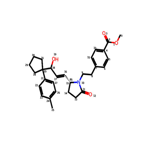 COC(=O)c1ccc(CCN2C(=O)CC[C@@H]2C=CC(O)C2(c3ccc(C)cc3)CCCC2)cc1